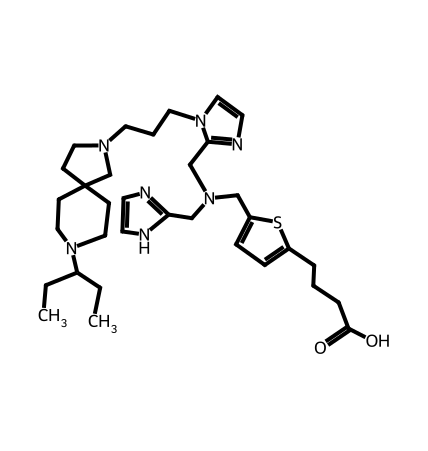 CCC(CC)N1CCC2(CCN(CCCn3ccnc3CN(Cc3ncc[nH]3)Cc3ccc(CCCC(=O)O)s3)C2)CC1